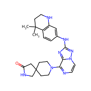 CC1(C)CCNc2cc(Nc3nc4c(N5CCC6(CC5)CNC(=O)C6)nccn4n3)ccc21